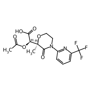 CC(=O)O[C@@H](C(=O)O)[C@@]1(C)OCCN(c2cccc(C(F)(F)F)n2)C1=O